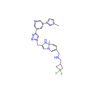 Cc1ccn(-c2cncc(-c3cn(CC4=CN5C=C(CNCC6CC(F)(F)C6)C=CC5(C)N4)nn3)c2)c1